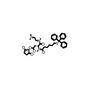 CN(C)CCN(C)C(=O)[C@H](CC(=O)ON1C(=O)CCC1=O)N(C)C(=O)CCCCCSC(c1ccccc1)(c1ccccc1)c1ccccc1